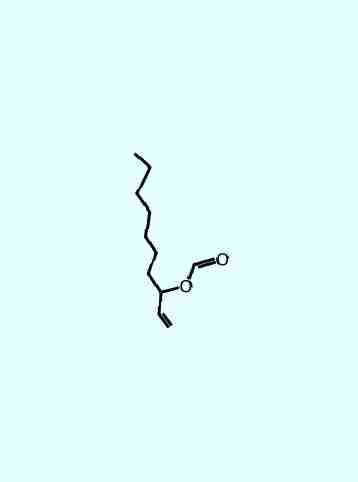 C=CC(CCCCCCC)OC=O